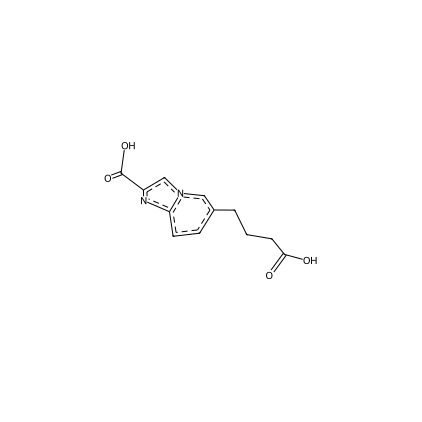 O=C(O)CCCc1ccc2nc(C(=O)O)cn2c1